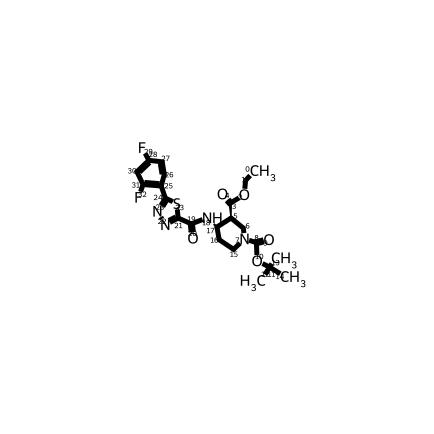 CCOC(=O)[C@H]1CN(C(=O)OC(C)(C)C)CC[C@@H]1NC(=O)c1nnc(-c2ccc(F)cc2F)s1